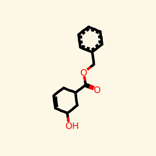 O=C(OCc1ccccc1)C1CC=CC(O)C1